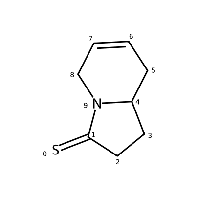 S=C1CCC2CC=CCN12